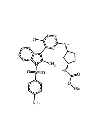 Cc1ccc(S(=O)(=O)n2c(C)c(-c3nc(N[C@H]4CC[C@@H](NC(=O)OC(C)(C)C)C4)ncc3Cl)c3ccccc32)cc1